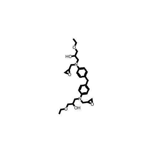 CCOCC(O)CN(CC1CO1)c1ccc(Cc2ccc(N(CC(O)COCC)CC3CO3)cc2)cc1